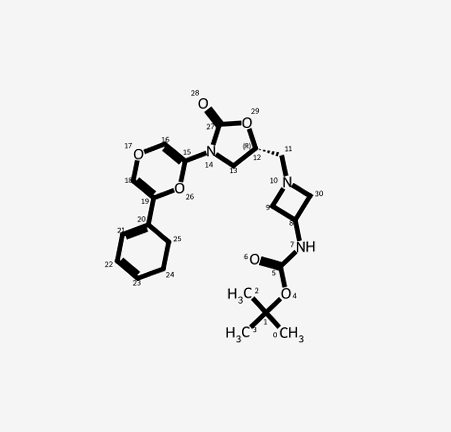 CC(C)(C)OC(=O)NC1CN(C[C@@H]2CN(C3=COC=C(C4=CC=CCC4)O3)C(=O)O2)C1